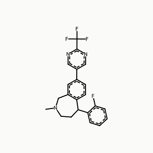 CN1CCC(c2ccccc2F)c2ccc(-c3cnc(C(F)(F)F)nc3)cc2C1